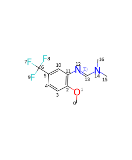 COc1ccc(C(F)(F)F)cc1/N=C/N(C)C